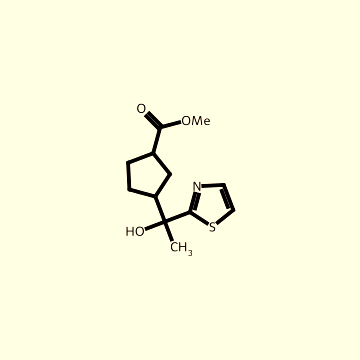 COC(=O)C1CCC(C(C)(O)c2nccs2)C1